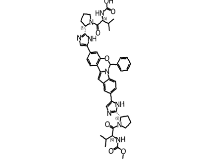 COC(=O)N[C@H](C(=O)N1CCC[C@H]1c1ncc(-c2ccc3c(c2)cc2n3C(c3ccccc3)Oc3cc(-c4cnc([C@@H]5CCCN5C(=O)[C@@H](NC(=O)O)C(C)C)[nH]4)ccc3-2)[nH]1)C(C)C